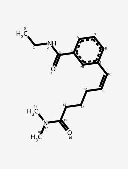 CCNC(=O)c1cccc(/C=C\CCCC(=O)N(C)C)c1